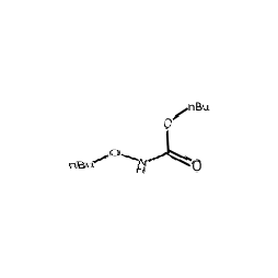 CCCCONC(=O)OCCCC